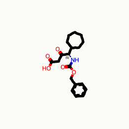 O=C(O)CC(=O)[C@@H](NC(=O)OCc1ccccc1)C1CCCCCC1